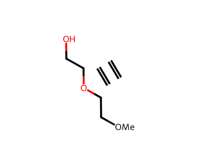 C=C.C=C.COCCOCCO